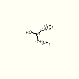 COP(O)O.N.N